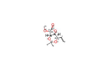 C=C[C@H]1OC(C)(C)O[C@@H]2[C@H]1OC(=O)[C@@H]2OC